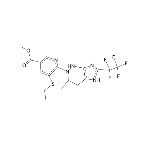 CCSc1cc(C(=O)OC)cnc1N1Nc2nc(C(F)(F)C(F)(F)F)[nH]c2CC1C